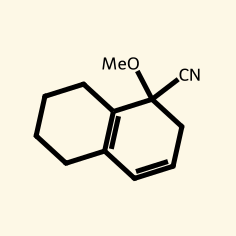 COC1(C#N)CC=CC2=C1CCCC2